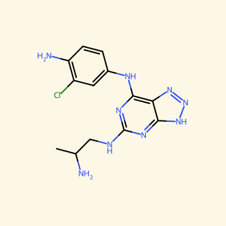 CC(N)CNc1nc(Nc2ccc(N)c(Cl)c2)c2nn[nH]c2n1